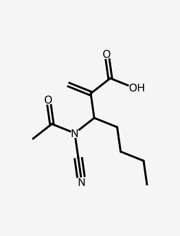 C=C(C(=O)O)C(CCCC)N(C#N)C(C)=O